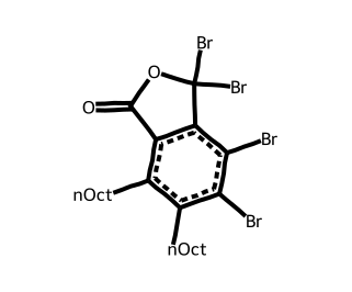 CCCCCCCCc1c(Br)c(Br)c2c(c1CCCCCCCC)C(=O)OC2(Br)Br